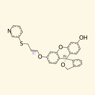 Oc1ccc2c(c1)Oc1cc(O/C=C/CSc3cccnc3)ccc1[C@@]21OCc2ccccc21